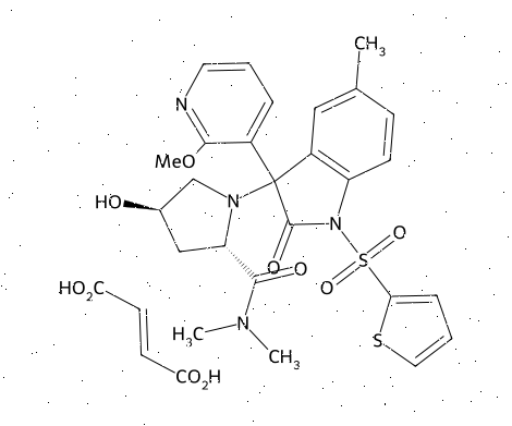 COc1ncccc1C1(N2C[C@H](O)C[C@H]2C(=O)N(C)C)C(=O)N(S(=O)(=O)c2cccs2)c2ccc(C)cc21.O=C(O)/C=C/C(=O)O